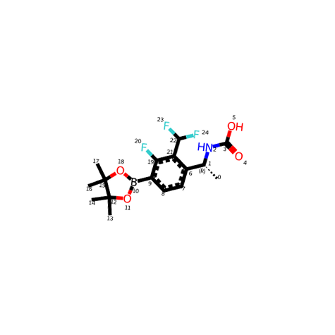 C[C@@H](NC(=O)O)c1ccc(B2OC(C)(C)C(C)(C)O2)c(F)c1C(F)F